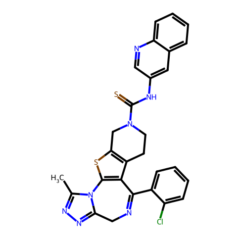 Cc1nnc2n1-c1sc3c(c1C(c1ccccc1Cl)=NC2)CCN(C(=S)Nc1cnc2ccccc2c1)C3